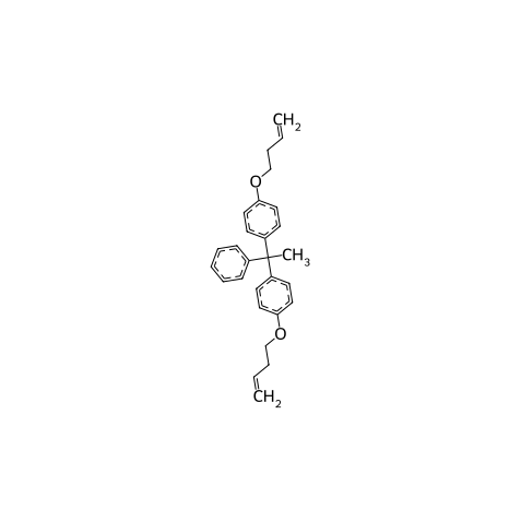 C=CCCOc1ccc(C(C)(c2ccccc2)c2ccc(OCCC=C)cc2)cc1